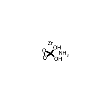 N.OC1(O)OO1.[Zr]